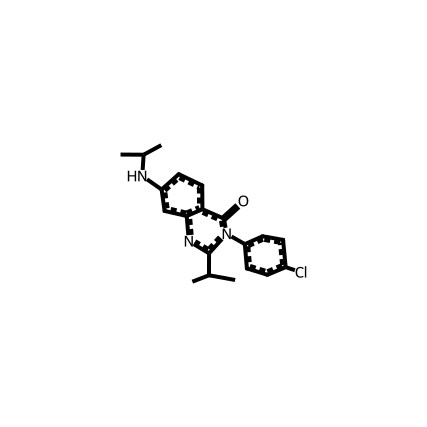 CC(C)Nc1ccc2c(=O)n(-c3ccc(Cl)cc3)c(C(C)C)nc2c1